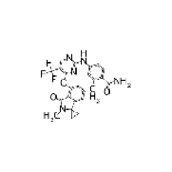 Cc1cc(Nc2ncc(C(F)(F)F)c(Oc3cccc4c3C(=O)N(C)C43CC3)n2)ccc1C(N)=O